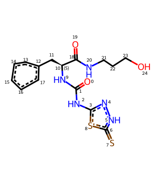 O=C(Nc1n[nH]c(=S)s1)N[C@@H](Cc1ccccc1)C(=O)NCCCO